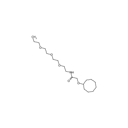 CCCOCCOCCOCCNC(=O)COC1CCCCCCC1